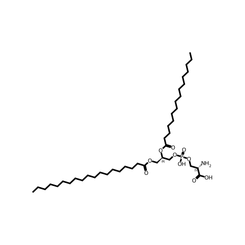 CCCCCCCCCCCCCCCCCCC(=O)OC[C@H](COP(=O)(O)OC[C@H](N)C(=O)O)OC(=O)CCCCCCCCCCCCCCC